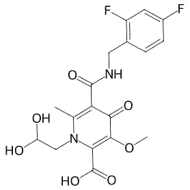 COc1c(C(=O)O)n(CC(O)O)c(C)c(C(=O)NCc2ccc(F)cc2F)c1=O